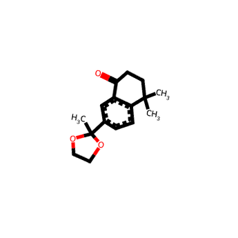 CC1(C)CCC(=O)c2cc(C3(C)OCCO3)ccc21